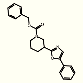 O=C(OCc1ccccc1)N1CCCC(c2ncc(-c3ccccc3)o2)C1